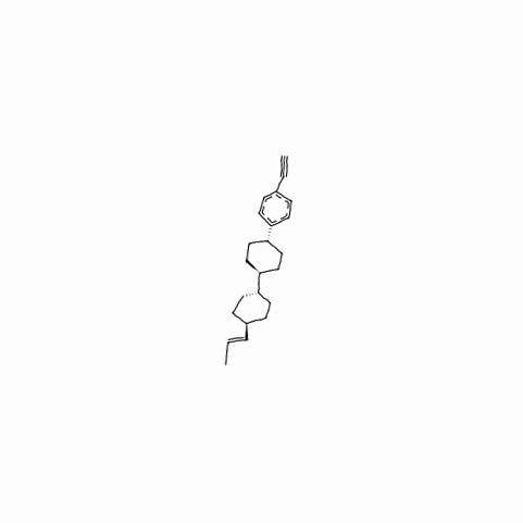 C#Cc1ccc([C@H]2CC[C@H]([C@H]3CC[C@H](C=CC)CC3)CC2)cc1